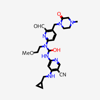 COCCN(c1ccc(CN2CCN(C)CC2=O)c(C=O)n1)C(O)Nc1cc(NCC2CC2)c(C#N)cn1